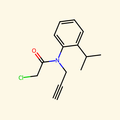 C#CCN(C(=O)CCl)c1ccccc1C(C)C